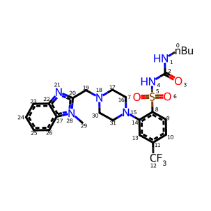 CCCCNC(=O)NS(=O)(=O)c1ccc(C(F)(F)F)cc1N1CCN(Cc2nc3ccccc3n2C)CC1